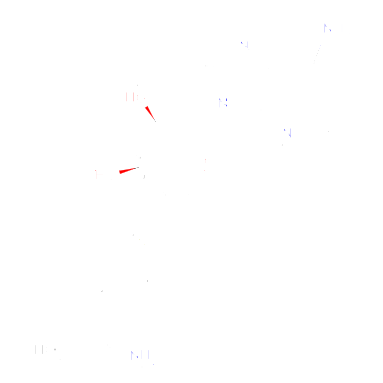 Nc1ccnc2c1ncn2[C@@H]1O[C@H](CSCC[C@H](N)C(=O)O)[C@@H](O)[C@H]1O